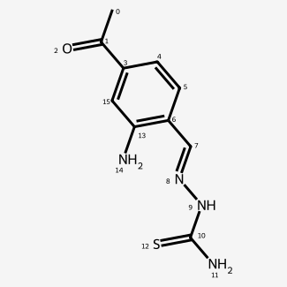 CC(=O)c1ccc(C=NNC(N)=S)c(N)c1